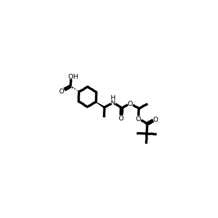 CC(OC(=O)NC(C)[C@H]1CC[C@H](C(=O)O)CC1)OC(=O)C(C)(C)C